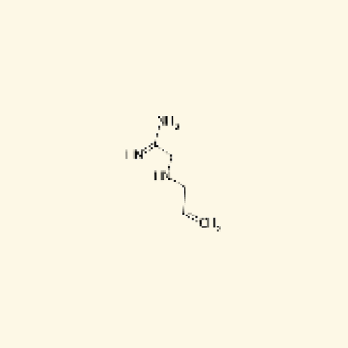 C=CCNCC(=N)N